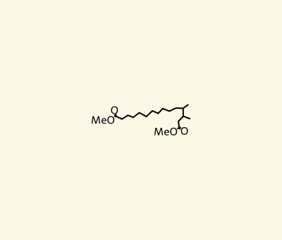 COC(=O)CCCCCCCCCCC(C)C(C)CC(=O)OC